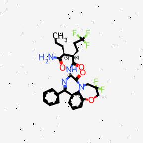 CCC[C@H](C(N)=O)[C@@H](CCC(F)(F)F)C(=O)N[C@H]1N=C(c2ccccc2)c2cccc3c2N(CC(F)(F)CO3)C1=O